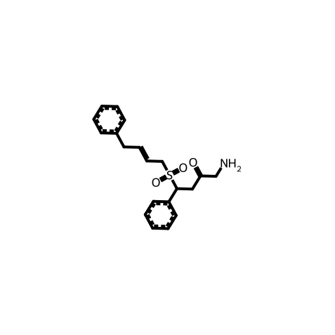 NCC(=O)CC(c1ccccc1)S(=O)(=O)CC=CCc1ccccc1